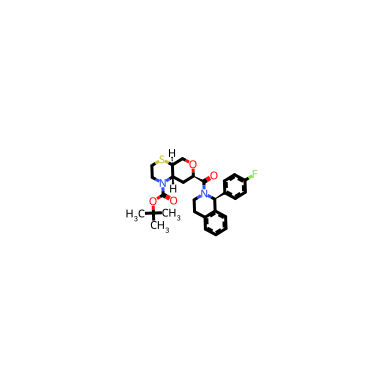 CC(C)(C)OC(=O)N1CCS[C@H]2CO[C@@H](C(=O)N3CCc4ccccc4[C@@H]3c3ccc(F)cc3)C[C@@H]21